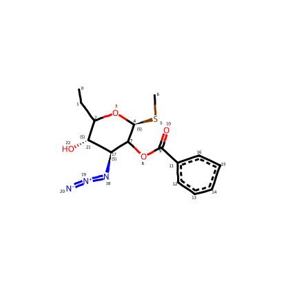 CCC1O[C@@H](SC)C(OC(=O)c2ccccc2)[C@@H](N=[N+]=[N-])[C@@H]1O